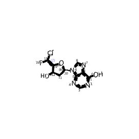 Oc1ncnc2c1ncn2[C@H]1CC(O)/C(=C(\F)Cl)O1